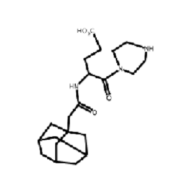 O=C(O)CCC(NC(=O)CC12CC3CC(CC(C3)C1)C2)C(=O)N1CCNCC1